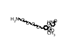 Cn1c(=O)n(C2CCC(=O)NC2=O)c2ccc(CCOCCOCCOCCOCCN)cc21